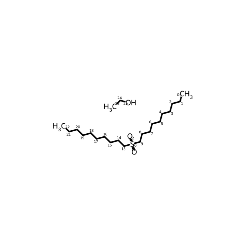 CCCCCCCCCCS(=O)(=O)CCCCCCCCCC.CCO